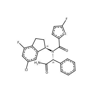 NC(=O)[C@@H](c1ccccc1)N(C(=O)c1ccc(F)s1)[C@@H]1CCc2c(F)cc(Cl)cc21